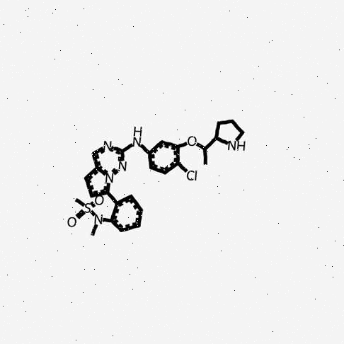 CC(Oc1cc(Nc2ncc3ccc(-c4ccccc4N(C)S(C)(=O)=O)n3n2)ccc1Cl)C1CCCN1